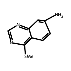 CSc1ncnc2cc(N)ccc12